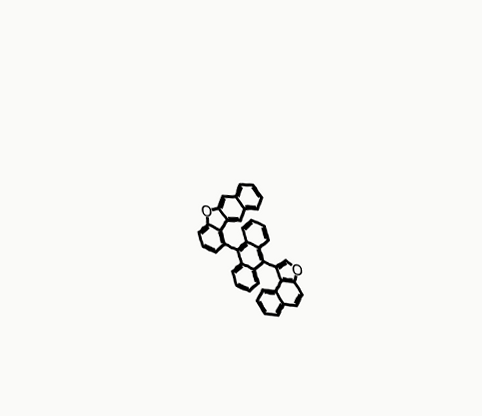 c1ccc2cc3c(cc2c1)oc1cccc(-c2c4ccccc4c(-c4coc5ccc6ccccc6c45)c4ccccc24)c13